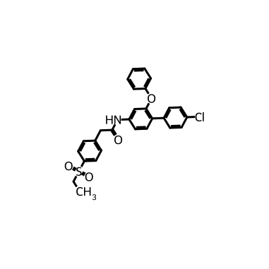 CCS(=O)(=O)c1ccc(CC(=O)Nc2ccc(-c3ccc(Cl)cc3)c(Oc3ccccc3)c2)cc1